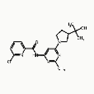 Cc1nc(NC(=O)c2cccc(Cl)n2)cc(N2CCC(C(C)(C)O)C2)n1